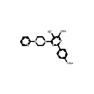 COc1ccc(-c2nc(SC)c(C#N)c(N3CCN(c4ccccn4)CC3)n2)cc1